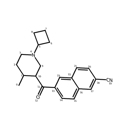 CC1CCN(C2CCC2)CC1C(=O)c1ccc2cc(C#N)ccc2c1